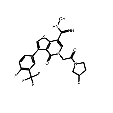 N=C(NO)c1cn(CC(=O)N2CCC(F)C2)c(=O)c2c(-c3ccc(F)c(C(F)(F)F)c3)csc12